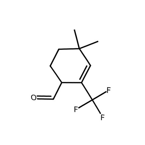 CC1(C)C=C(C(F)(F)F)C(C=O)CC1